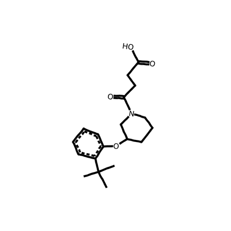 CC(C)(C)c1ccccc1OC1CCCN(C(=O)CCC(=O)O)C1